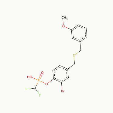 COc1cccc(CSCc2ccc(OP(=O)(O)C(F)F)c(Br)c2)c1